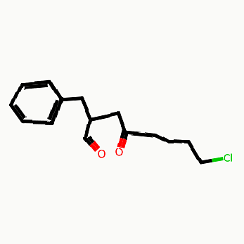 O=CC(CC(=O)CCCCCl)Cc1ccccc1